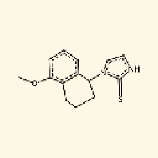 COc1cccc2c1CCCC2n1cc[nH]c1=S